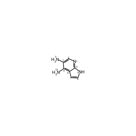 Nc1cnc2[nH]ccc2c1N